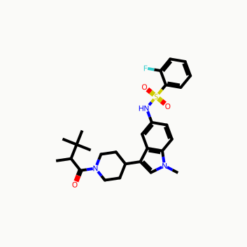 CC(C(=O)N1CCC(c2cn(C)c3ccc(NS(=O)(=O)c4ccccc4F)cc23)CC1)C(C)(C)C